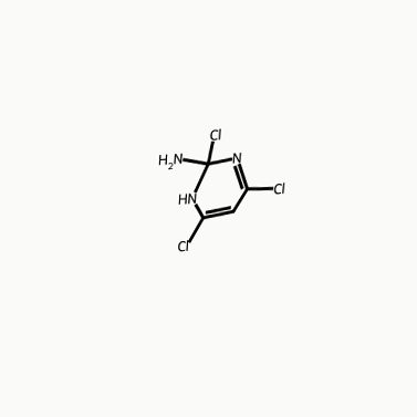 NC1(Cl)N=C(Cl)C=C(Cl)N1